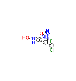 O=C(N[C@H](Cc1ccc(-c2cc(Cl)ccc2F)cc1)C[C@@H](CNCCO)C(=O)O)c1cnn[nH]1